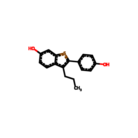 CCCc1c(-c2ccc(O)cc2)sc2cc(O)ccc12